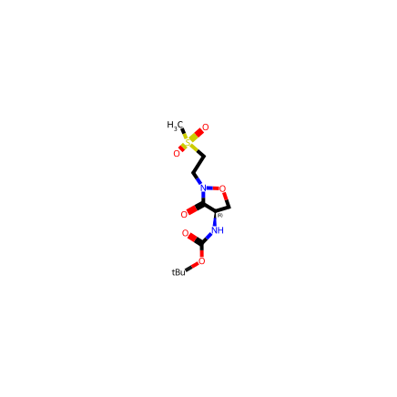 CC(C)(C)OC(=O)N[C@@H]1CON(CCS(C)(=O)=O)C1=O